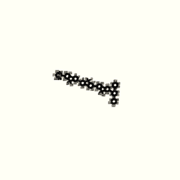 CC1(C)c2cc(-c3ccc4c(c3)C(C)(C)c3cc(-c5ncccn5)ccc3-4)ccc2-c2ccc(-c3ccc4c(c3)C(C)(C)c3cc(-c5cc(-c6ccccc6)ccc5-c5ccccc5)ccc3-4)cc21